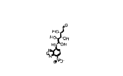 O=CC[C@@H](O)[C@H](O)[C@H](O)C(O)Nc1ccc([N+](=O)[O-])c2nonc12